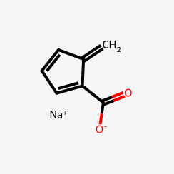 C=C1C=CC=C1C(=O)[O-].[Na+]